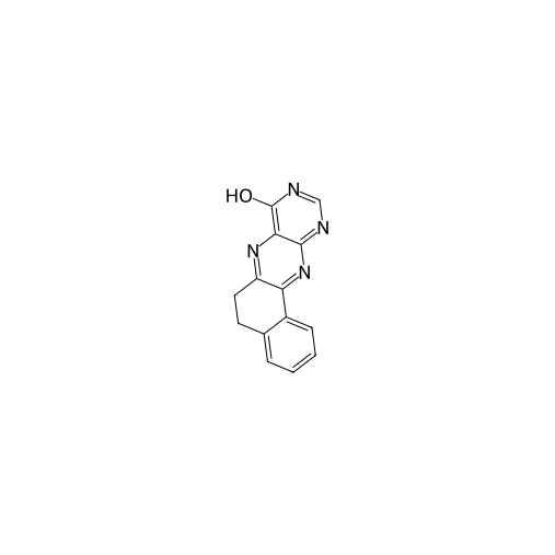 Oc1ncnc2nc3c(nc12)CCc1ccccc1-3